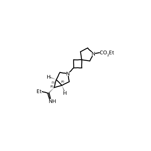 CCOC(=O)N1CCC2(CC(N3C[C@@H]4[C@H](C3)[C@H]4C(=N)CC)C2)C1